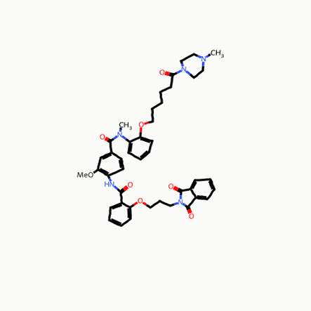 COc1cc(C(=O)N(C)c2ccccc2OCCCCCC(=O)N2CCN(C)CC2)ccc1NC(=O)c1ccccc1OCCCN1C(=O)c2ccccc2C1=O